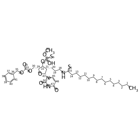 CCCCCCCCCCCCCCCC(=S)NCCC[C@H]1C(OP(O)(=S)OC)[C@@H](COC(=O)OCc2ccccc2)O[C@H]1n1ccc(=O)[nH]c1=O